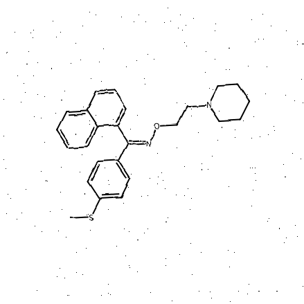 CSc1ccc(/C(=N/OCCN2CCCCC2)c2cccc3ccccc23)cc1